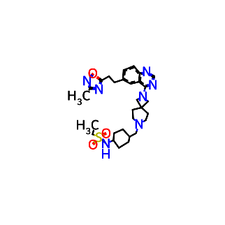 CCS(=O)(=O)NC1CCC(CN2CCC3(CC2)CN(c2ncnc4ccc(CCc5nc(C)no5)cc24)C3)CC1